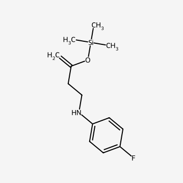 C=C(CCNc1ccc(F)cc1)O[Si](C)(C)C